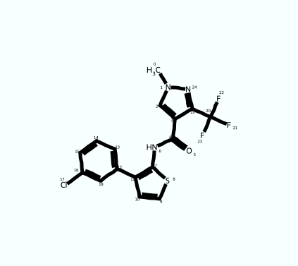 Cn1cc(C(=O)Nc2sccc2-c2cccc(Cl)c2)c(C(F)(F)F)n1